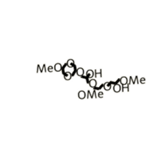 COCC(O)COCC(COCC(O)COC1COCC(OC)COC1)OC